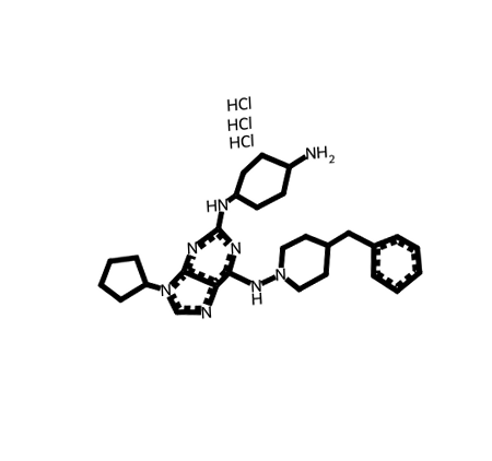 Cl.Cl.Cl.NC1CCC(Nc2nc(NN3CCC(Cc4ccccc4)CC3)c3ncn(C4CCCC4)c3n2)CC1